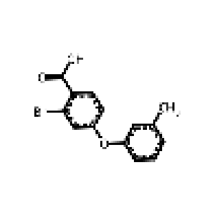 Cc1cccc(Oc2ccc(C(=O)O)c(Br)c2)c1